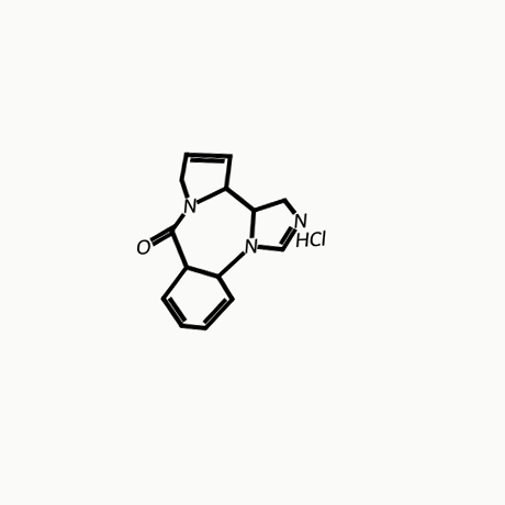 Cl.O=C1C2C=CC=CC2N2C=NCC2C2C=CCN12